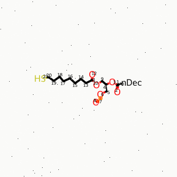 CCCCCCCCCCC(=O)O[C@@H](COP=O)COC(=O)CCCCCCCCS